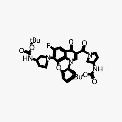 CC(C)(C)OC(=O)NC1CCN(C(=O)c2cn3c4c(c(N5CCC(NC(=O)OC(C)(C)C)C5)c(F)cc4c2=O)Oc2ccccc2-3)C1